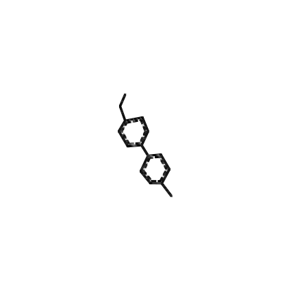 CCc1ccc(-c2ccc(C)cc2)cc1